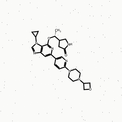 C[C@@H](Oc1nc(-c2ccc(N3CCN(C4COC4)CC3)nc2)cc2ncn(C3CC3)c12)C1CNC(=O)C1